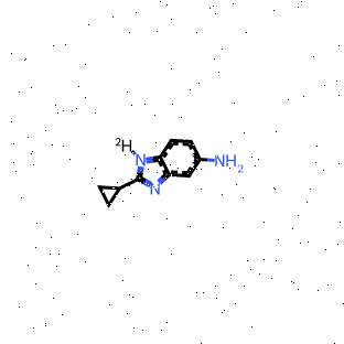 [2H]n1c(C2CC2)nc2cc(N)ccc21